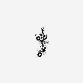 COCCCNc1nccc(-c2[nH]c(C3OCC(C)(C(=O)NC4CCCCC4)CO3)nc2-c2ccc(F)cc2)n1